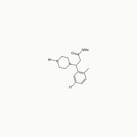 CNC(=O)CC(c1cc(Cl)ccc1C)N1CCN(C(C)C)CC1